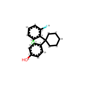 Oc1ccc(C2(c3c(F)cccc3Cl)CCCCC2)cc1